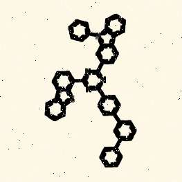 c1ccc(-c2cccc(-c3ccc(-c4nc(-c5ccc6c7ccccc7n(-c7ccccc7)c6c5)nc(-c5cccc6c5sc5ccccc56)n4)cc3)c2)cc1